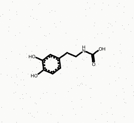 O=C(O)NCCc1ccc(O)c(O)c1